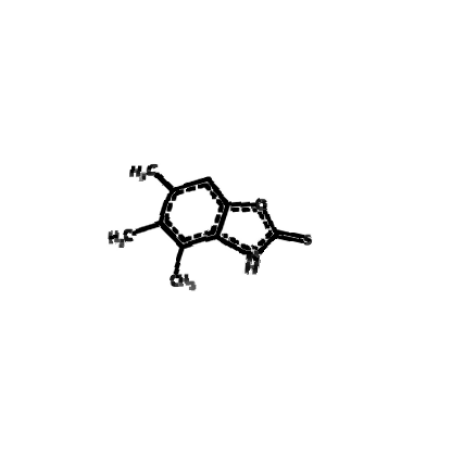 Cc1cc2oc(=S)[nH]c2c(C)c1C